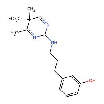 CCOC(=O)C1(C)C=NC(NCCCc2cccc(O)c2)N=C1C